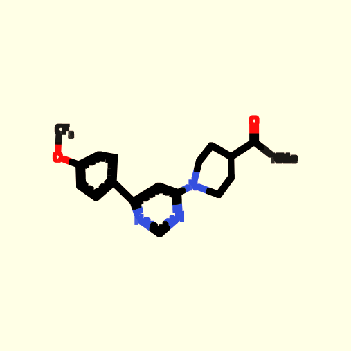 CNC(=O)C1CCN(c2cc(-c3ccc(OC(F)(F)F)cc3)ncn2)CC1